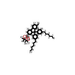 CCCCCCc1ccc(C2(c3ccc(CCCCCC)cc3)c3cc(C)ccc3-c3ccc(B4OC(C)(C)C(C)(C)O4)cc32)cc1